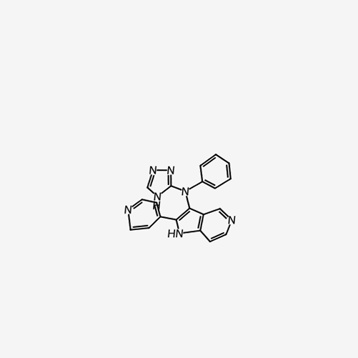 c1ccc(N(c2nnc[nH]2)c2c(-c3ccncc3)[nH]c3ccncc23)cc1